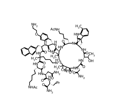 CC(=O)NCCCCC[C@H](NC(=O)C(C)(CCCCN)NC(=O)[C@H](Cc1ccc2ccccc2c1)NC(=O)[C@H](Cc1ccc(OCCN)cc1)NC(=O)[C@H]1NC(=O)[C@H](CCCCNC(C)=O)NC(=O)[C@H](Cc2c[nH]c3c(C)cccc23)NC(=O)[C@H]([C@@H](C)O)NC(=O)[C@H](CC(N)=O)NC(=O)[C@@H](NC(C)=O)C(C)(C)SSC1(C)C)C(=O)N[C@@H](CC(N)=O)C(=O)N[C@H](CC(C)C)C(N)=O